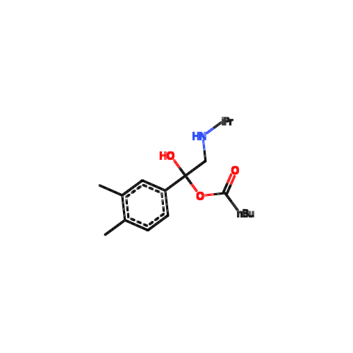 CCCCC(=O)OC(O)(CNC(C)C)c1ccc(C)c(C)c1